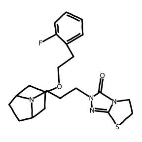 O=c1n(CCCN2C3CCC2CC(OCCc2ccccc2F)C3)nc2n1CCS2